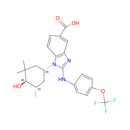 C[C@H]1C[C@@H](n2c(Nc3ccc(OC(F)(F)F)cc3)nc3cc(C(=O)O)ccc32)CC(C)(C)[C@@H]1O